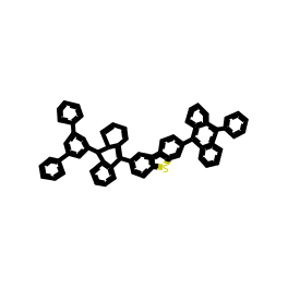 C1=CC2=C(c3ccc4sc5cc(-c6c7ccccc7c(-c7ccccc7)c7ccccc67)ccc5c4c3)c3ccccc3C(c3cc(-c4ccccc4)cc(-c4ccccc4)c3)C2C=C1